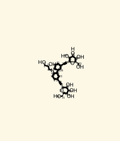 OCC(O)Cn1c2ccc(C#C[C@H]3O[C@H](CO)[C@@H](O)[C@H](O)[C@@H]3O)cc2c2cc(C#C[C@H]3O[C@H](CO)[C@@H](O)[C@H](O)[C@@H]3O)ccc21